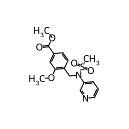 COC(=O)c1ccc(CN(c2cccnc2)S(C)(=O)=O)c(OC)c1